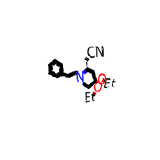 CCOC1(OCC)CCN(CCc2ccccc2)[C@H](CC#N)C1